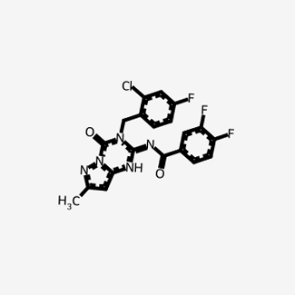 Cc1cc2[nH]/c(=N\C(=O)c3ccc(F)c(F)c3)n(Cc3ccc(F)cc3Cl)c(=O)n2n1